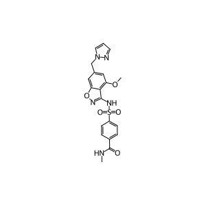 CNC(=O)c1ccc(S(=O)(=O)Nc2noc3cc(Cn4cccn4)cc(OC)c23)cc1